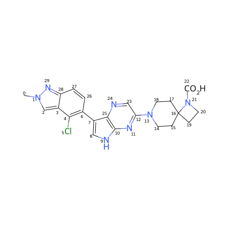 Cn1cc2c(Cl)c(-c3c[nH]c4nc(N5CCC6(CC5)CCN6C(=O)O)cnc34)ccc2n1